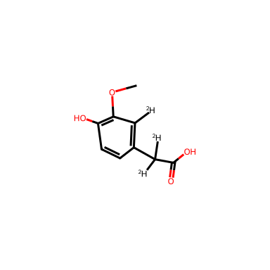 [2H]c1c(C([2H])([2H])C(=O)O)ccc(O)c1OC